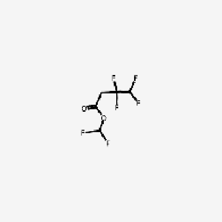 O=C(CC(F)(F)C(F)F)OC(F)F